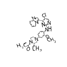 COc1cc(N2CCN(C(C)=O)C(C)C2)ccc1Nc1ncc(Cl)c(-c2cnc3ccccn23)n1